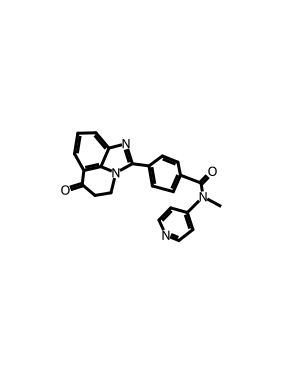 CN(C(=O)c1ccc(-c2nc3cccc4c3n2CCC4=O)cc1)c1ccncc1